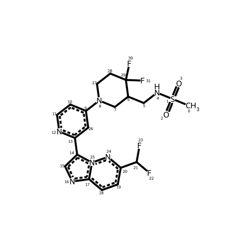 CS(=O)(=O)NCC1CN(c2ccnc(-c3cnc4ccc(C(F)F)nn34)c2)CCC1(F)F